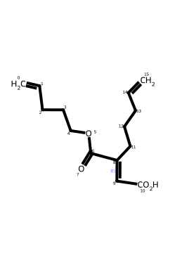 C=CCCCOC(=O)/C(=C/C(=O)O)CCCC=C